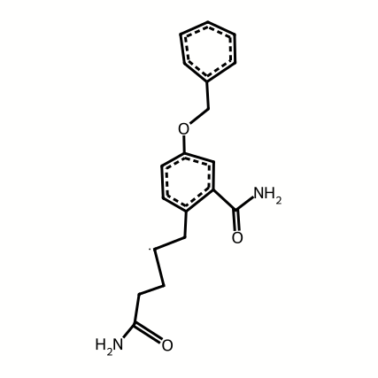 NC(=O)CC[CH]Cc1ccc(OCc2ccccc2)cc1C(N)=O